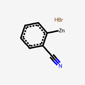 Br.N#Cc1cccc[c]1[Zn]